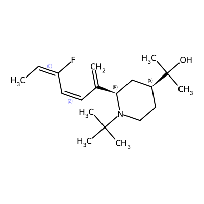 C=C(/C=C\C(F)=C/C)[C@H]1C[C@@H](C(C)(C)O)CCN1C(C)(C)C